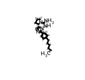 CCCCCCc1ccc(-c2noc([C@@H]3CCCN3C(=N)N)n2)cc1